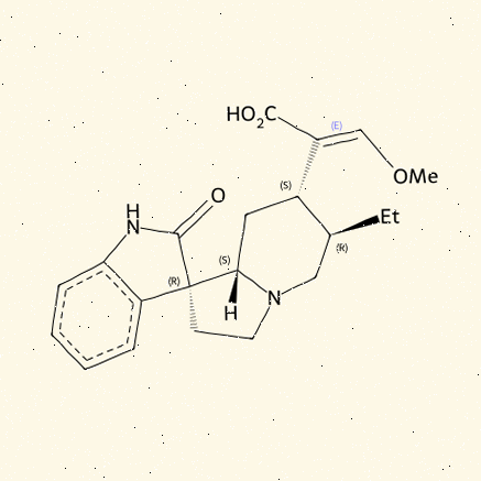 CC[C@H]1CN2CC[C@]3(C(=O)Nc4ccccc43)[C@@H]2C[C@@H]1/C(=C\OC)C(=O)O